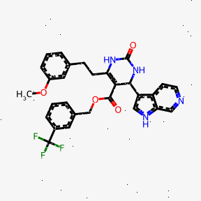 COc1cccc(CCC2=C(C(=O)OCc3cccc(C(F)(F)F)c3)C(c3c[nH]c4cnccc34)NC(=O)N2)c1